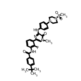 Cn1cc(-c2cccc(NC(=O)c3ccc(C(C)(C)C)cc3)c2F)nc(Nc2ccc(N3CCN(S(C)(=O)=O)CC3)cc2)c1=O